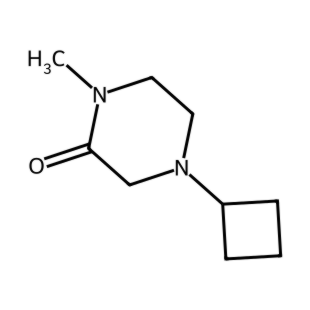 CN1CCN(C2CCC2)CC1=O